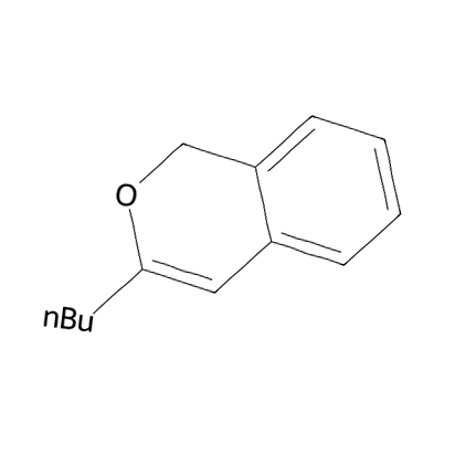 [CH2]CCCC1=Cc2ccccc2CO1